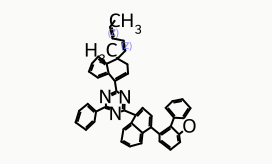 C/C=C\C=C/C1(C)CC=C(c2nc(-c3ccccc3)nc(-c3ccc(-c4cccc5oc6ccccc6c45)c4ccccc34)n2)c2ccccc21